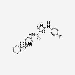 O=C(Nc1ccc(OC2(C(=O)O)CCCCC2)nc1)c1nnc(Nc2ccc(F)cc2)o1